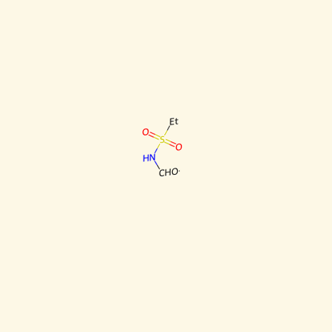 CCS(=O)(=O)N[C]=O